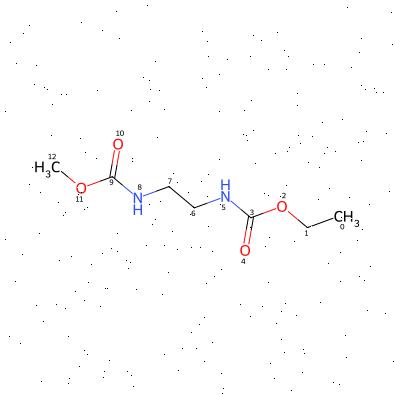 CCOC(=O)NCCNC(=O)OC